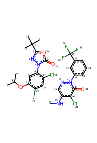 CC(C)Oc1cc(-n2nc(C(C)(C)C)oc2=O)c(Cl)cc1Cl.CNc1cnn(-c2cccc(C(F)(F)F)c2)c(=O)c1Cl